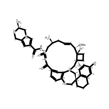 CO[C@H]1/C=C/C[C@H](C)C[S@@](=O)(NC(=O)c2cc3n(c2)C[C@H](C)OC3)=NC(=O)c2ccc3c(c2)N(C[C@@H]2CC[C@H]21)C[C@@]1(CCCc2cc(Cl)ccc21)CO3